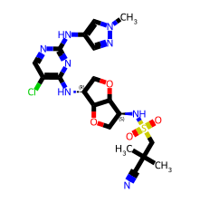 Cn1cc(Nc2ncc(Cl)c(N[C@@H]3COC4C3OC[C@@H]4NS(=O)(=O)CC(C)(C)C#N)n2)cn1